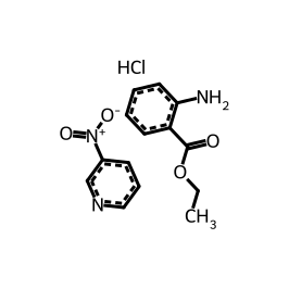 CCOC(=O)c1ccccc1N.Cl.O=[N+]([O-])c1cccnc1